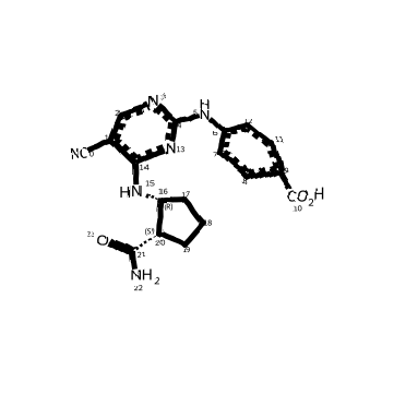 N#Cc1cnc(Nc2ccc(C(=O)O)cc2)nc1N[C@@H]1CCC[C@@H]1C(N)=O